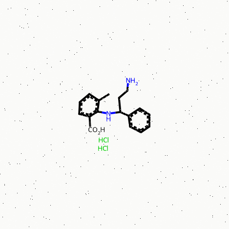 Cc1cccc(C(=O)O)c1NC(CCN)c1ccccc1.Cl.Cl